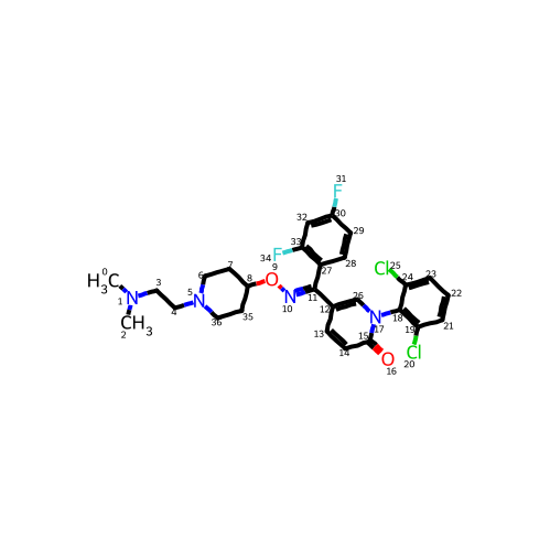 CN(C)CCN1CCC(ON=C(c2ccc(=O)n(-c3c(Cl)cccc3Cl)c2)c2ccc(F)cc2F)CC1